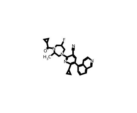 CC1CN(c2nc(C3CC3)c(-c3cccc4cnccc34)cc2C#N)CC(F)CN1C(=O)C1CC1